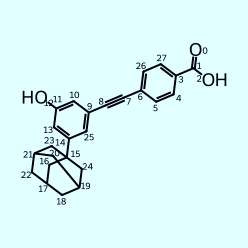 O=C(O)c1ccc(C#Cc2cc(O)cc(C34CC5CC(CC(C5)C3)C4)c2)cc1